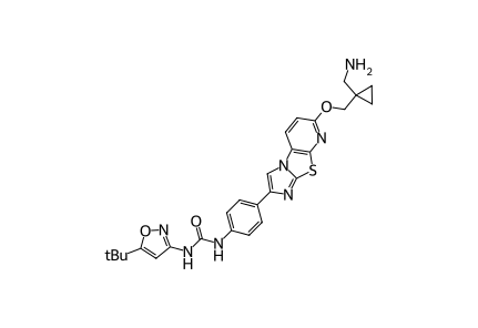 CC(C)(C)c1cc(NC(=O)Nc2ccc(-c3cn4c(n3)sc3nc(OCC5(CN)CC5)ccc34)cc2)no1